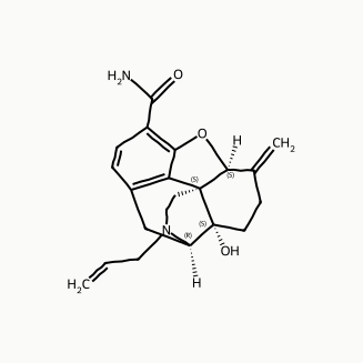 C=CCN1CC[C@]23c4c5ccc(C(N)=O)c4O[C@H]2C(=C)CC[C@@]3(O)[C@H]1C5